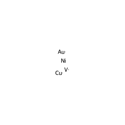 [Au].[Cu].[Ni].[V]